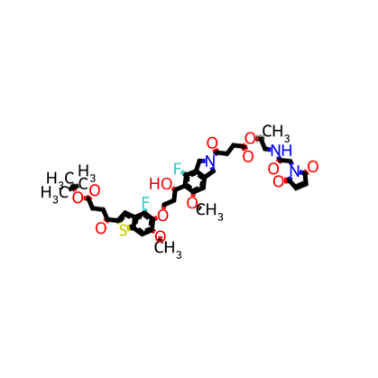 COc1cc2sc(C(=O)CCC(=O)OC(C)(C)C)cc2c(F)c1OCCC(O)c1c(OC)cc2c(c1F)CN(C(=O)CCC(=O)O[C@@H](C)CNC(=O)CN1C(=O)C=CC1=O)C2